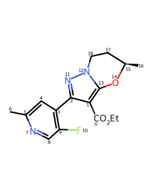 CCOC(=O)c1c(-c2cc(C)ncc2F)nn2c1O[C@H](C)CC2